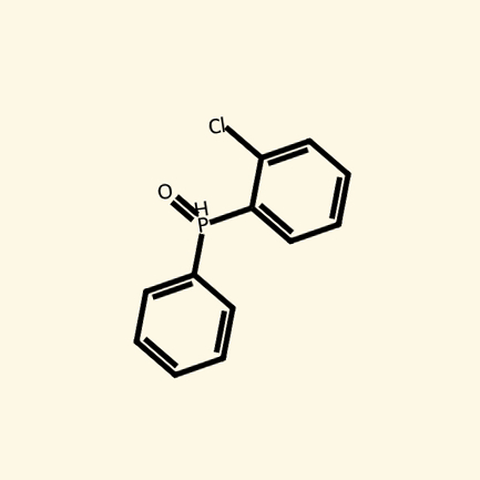 O=[PH](c1ccccc1)c1ccccc1Cl